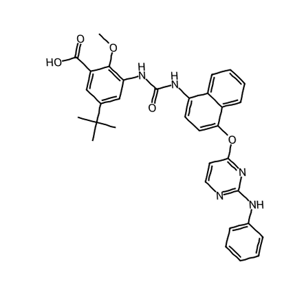 COc1c(NC(=O)Nc2ccc(Oc3ccnc(Nc4ccccc4)n3)c3ccccc23)cc(C(C)(C)C)cc1C(=O)O